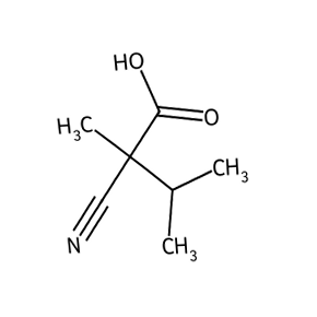 CC(C)C(C)(C#N)C(=O)O